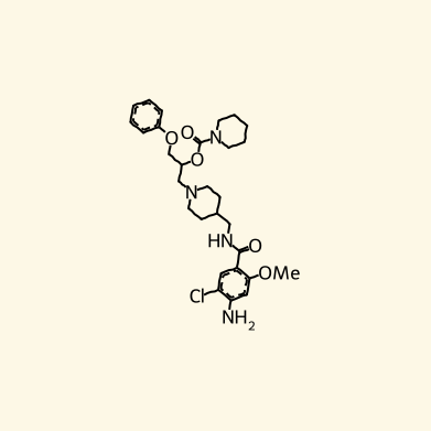 COc1cc(N)c(Cl)cc1C(=O)NCC1CCN(CC(COc2ccccc2)OC(=O)N2CCCCC2)CC1